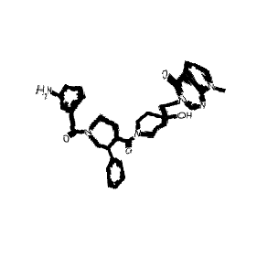 Cn1ccc2c(=O)n(CC3(O)CCN(C(=O)C4CCN(C(=O)c5cccc(N)c5)CC4c4ccccc4)CC3)cnc21